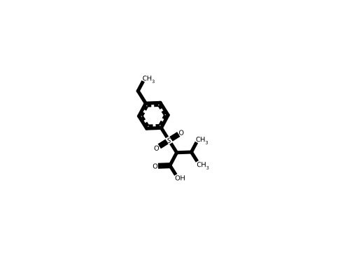 CCc1ccc(S(=O)(=O)C(C(=O)O)C(C)C)cc1